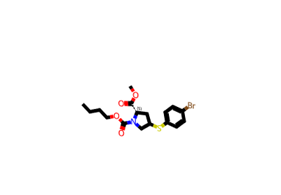 CCCCOC(=O)N1CC(Sc2ccc(Br)cc2)C[C@H]1C(=O)OC